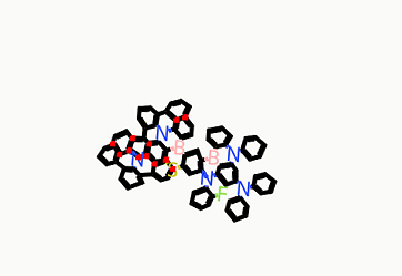 Fc1ccccc1N1c2cc3c(cc2B2c4ccccc4N(c4ccccc4)c4cc(N(c5ccccc5)c5ccccc5)cc1c42)B1c2ccccc2N(c2c(-c4ccccc4)cccc2-c2ccccc2)c2cc(N(c4ccccc4)c4c(-c5ccccc5)cccc4-c4ccccc4)cc(c21)S3